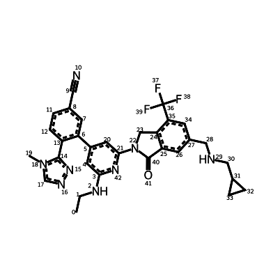 CCNc1cc(-c2cc(C#N)ccc2-c2nncn2C)cc(N2Cc3c(cc(CNCC4CC4)cc3C(F)(F)F)C2=O)n1